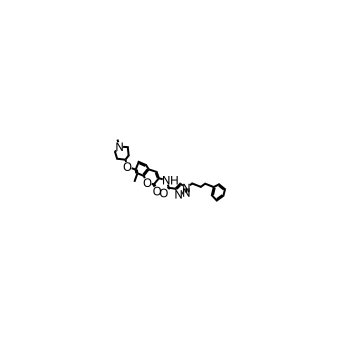 Cc1c(OC2CCN(C)CC2)ccc2cc(NC(=O)c3cn(CCCc4ccccc4)nn3)c(=O)oc12